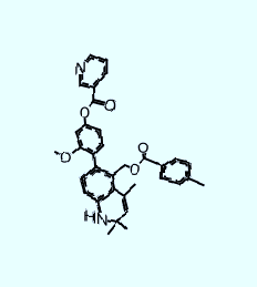 COc1cc(OC(=O)c2cccnc2)ccc1-c1ccc2c(c1COC(=O)c1ccc(C)cc1)C(C)=CC(C)(C)N2